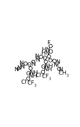 Cc1ccc(-c2cnc3ccc(Oc4ccc(NC(=O)Nc5cccc(F)c5)cc4)cc3n2)cn1.O=C(Nc1ccc(Oc2ccc3ncc(-c4cccnc4)nc3c2)cc1)Nc1ccc(Cl)c(C(F)(F)F)c1.O=C(Nc1ccc(Oc2ccc3ncc(-n4ccnc4)nc3c2)cc1)Nc1ccc(Cl)c(C(F)(F)F)c1